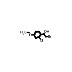 CCOc1ccc(C(O)CBr)c(Cl)c1